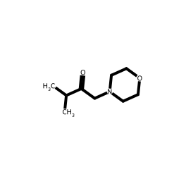 CC(C)C(=O)CN1CCOCC1